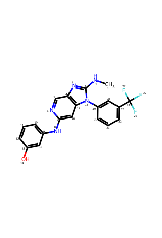 CNc1nc2cnc(Nc3cccc(O)c3)cc2n1-c1cccc(C(F)(F)F)c1